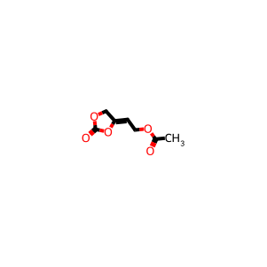 CC(=O)OCC=C1COC(=O)O1